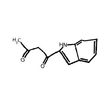 CC(=O)CC(=O)c1cc2ccccc2[nH]1